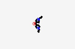 C=CCN1CCC(C(=O)C2CCN(CC=C)CC2)CC1